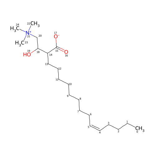 CCCC/C=C\CCCCCCCCC(C(=O)[O-])C(O)C[N+](C)(C)C